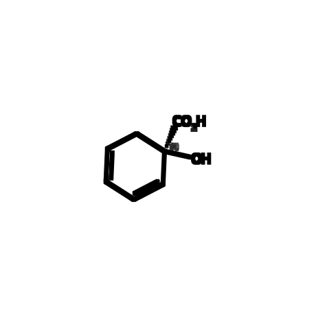 O=C(O)[C@]1(O)C=CC=CC1